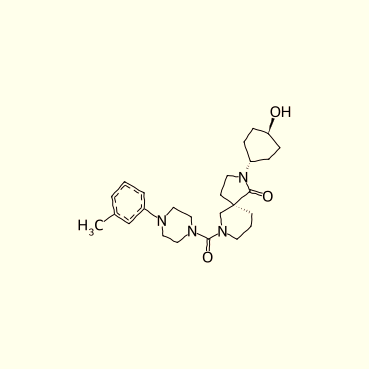 Cc1cccc(N2CCN(C(=O)N3CCC[C@@]4(CCN([C@H]5CC[C@H](O)CC5)C4=O)C3)CC2)c1